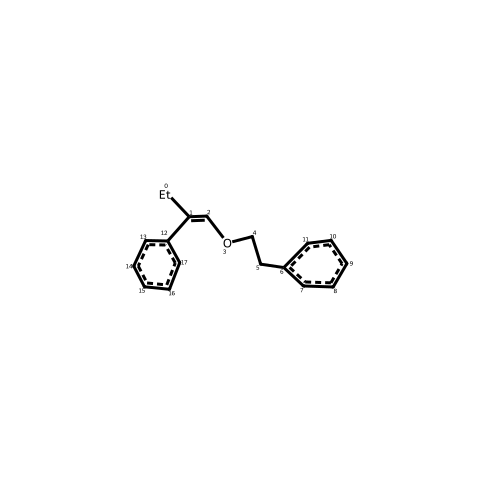 CCC(=COCCc1ccccc1)c1ccccc1